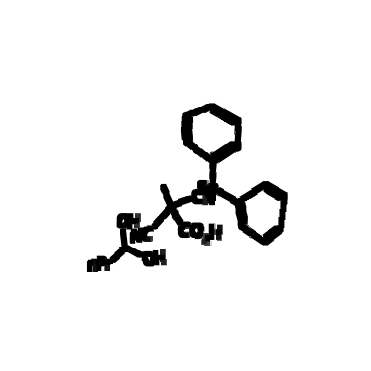 CC(C#N)(C#N)C(=O)O.CCCC(O)O.c1ccc([Se]c2ccccc2)cc1